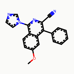 COc1ccc2c(-n3ccnc3)nc(C#N)c(-c3ccccc3)c2c1